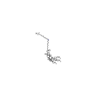 CCCCCCCC/C=C\CCCCCCCC(=O)OC1CC[C@@]2(C)C(CC[C@H]3[C@@H]4CC[C@H]([C@H](C)CC[C@@H](C)C(C)C)[C@@]4(C)CC[C@@H]32)C1